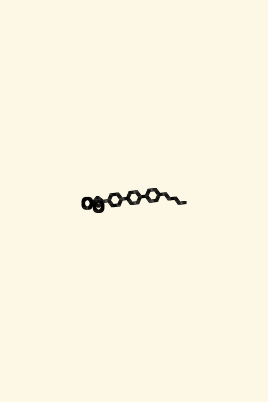 CCCCCC1CCC(C2CCC(C3CCC(C4CC(=O)O4)CC3)CC2)CC1